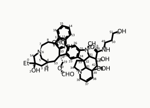 CCC1(O)C[C@H]2C[N@](CCc3c([nH]c4ccccc34)[C@@](COC=O)(c3cc4c(cc3C=O)N(C)C3C45CCN4CC=C[C@](CC)(C45)[C@@H](O)[C@]3(O)C(=O)NCCCO)C2)C1